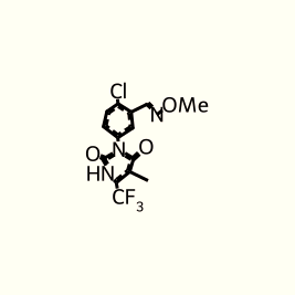 CON=Cc1cc(-n2c(=O)[nH]c(C(F)(F)F)c(C)c2=O)ccc1Cl